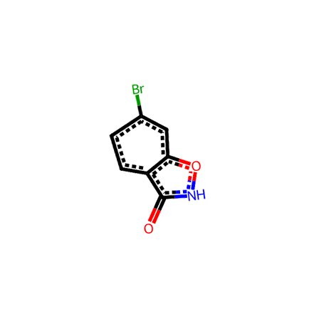 O=c1[nH]oc2cc(Br)ccc12